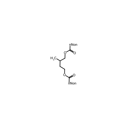 CCCCCCCCCC(=O)OCCC(C)COC(=O)CCCCCCCCC